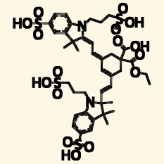 CCOC(=O)C1(C(=O)O)CC(/C=C/C2(C)N(CCCS(=O)(=O)O)c3ccc(S(=O)(=O)O)cc3C2(C)C)=CC(=C/C=C2/N(CCCS(=O)(=O)O)c3ccc(S(=O)(=O)O)cc3C2(C)C)/C1